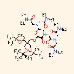 CCN(CC)C(=O)CN(CC(=O)N(CC)CC)C(=O)CN(CC(=O)N(CC(=O)N(CC)CC)CC(=O)N(CC)CC)C(=O)COCC(COC(C(F)(F)F)(C(F)(F)F)C(F)(F)F)(COC(C(F)(F)F)(C(F)(F)F)C(F)(F)F)COC(C(F)(F)F)(C(F)(F)F)C(F)(F)F